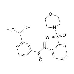 CC(O)c1cccc(C(=O)Nc2ccccc2S(=O)(=O)N2CCOCC2)c1